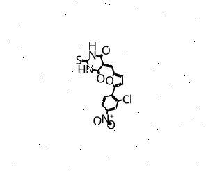 O=C1NC(=S)NC(=O)C1=Cc1ccc(-c2ccc([N+](=O)[O-])cc2Cl)o1